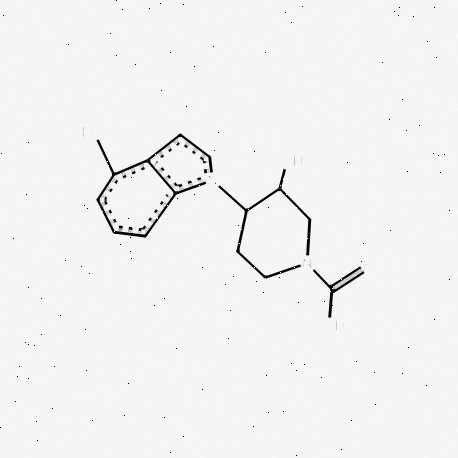 O=C(O)N1CCC(n2ccc3c(Br)cccc32)C(O)C1